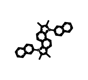 Cc1c(C)n(-c2ccc3ccccc3c2)c2c1ccc1c2ccc2c(C)c(C)n(-c3ccc4ccccc4c3)c21